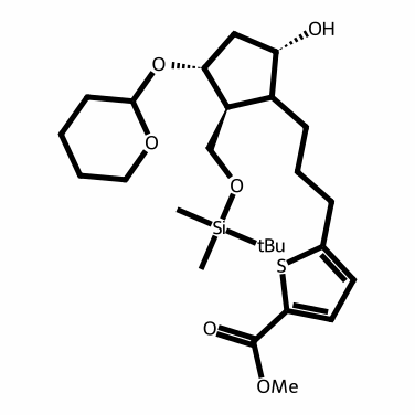 COC(=O)c1ccc(CCCC2[C@@H](CO[Si](C)(C)C(C)(C)C)[C@H](OC3CCCCO3)C[C@@H]2O)s1